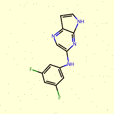 Fc1cc(F)cc(Nc2cnc3cc[nH]c3n2)c1